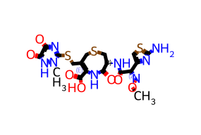 CO/N=C(\C(=O)N[C@H]1CSC/C(CSc2nc(=O)c(=O)[nH]n2C)=C(/C(=O)O)NC1=O)c1csc(N)n1